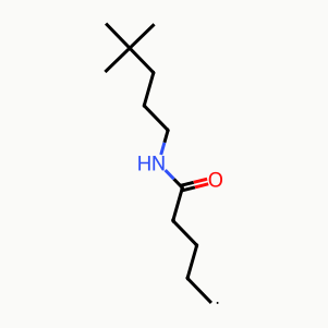 [CH2]CCCC(=O)NCCCC(C)(C)C